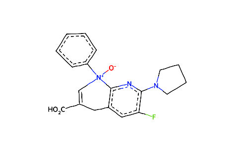 O=C(O)C1=C[N+]([O-])(c2ccccc2)c2nc(N3CCCC3)c(F)cc2C1